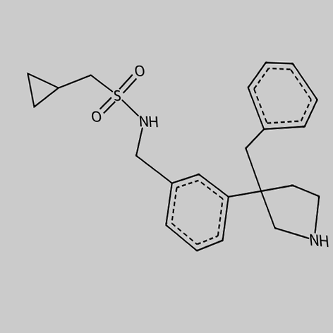 O=S(=O)(CC1CC1)NCc1cccc(C2(Cc3ccccc3)CCNC2)c1